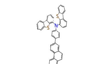 c1ccc2c(c1)ccc1cc(-c3ccc(N(c4cccc5c4sc4ccccc45)c4cccc5c4sc4ccccc45)cc3)ccc12